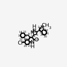 Cn1cc(C2CC(c3c(Cc4ccccc4)c4cc(Cl)ccc4[nH]c3=O)=NN2)c2ccccc21